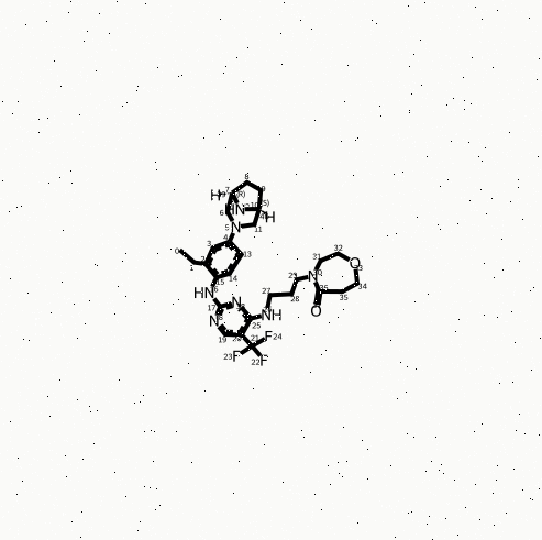 CCc1cc(N2C[C@H]3CC[C@@H](C2)N3)ccc1Nc1ncc(C(F)(F)F)c(NCCCN2CCOCCC2=O)n1